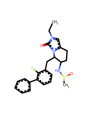 CCn1cc2n(c1=O)C(Cc1cccc(-c3ccccc3)c1F)C(N[S+](C)[O-])CC2